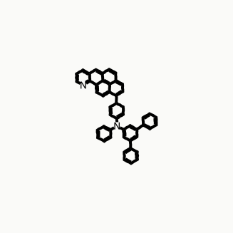 C1=CC(c2ccc3ccc4cc5cccnc5c5ccc2c3c45)CC=C1N(c1ccccc1)c1cc(-c2ccccc2)cc(-c2ccccc2)c1